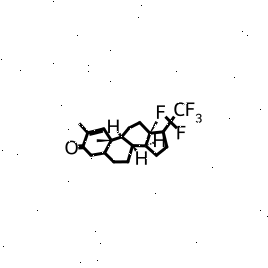 CC1=C[C@@]2(C)C(CC[C@@H]3[C@H]2CC[C@]2(C)C(C(F)(F)C(F)(F)F)CC[C@@H]32)CC1=O